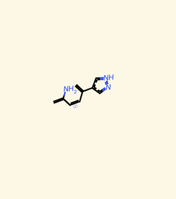 C=C(N)/C=C\C(=C)c1cn[nH]c1